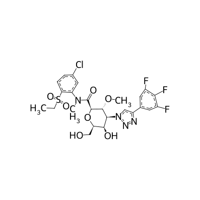 CCS(=O)(=O)c1ccc(Cl)cc1N(C)C(=O)[C@@H]1O[C@H](CO)[C@H](O)[C@H](n2cc(-c3cc(F)c(F)c(F)c3)nn2)[C@H]1OC